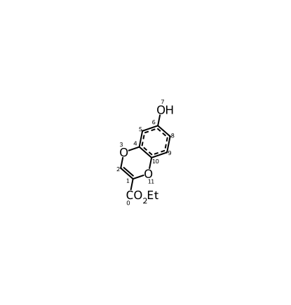 CCOC(=O)C1=COc2cc(O)ccc2O1